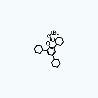 CC(C)(C)OC(=O)Oc1c(C2CCCCC2)cc(C2CCCCC2)cc1C1CCCCC1